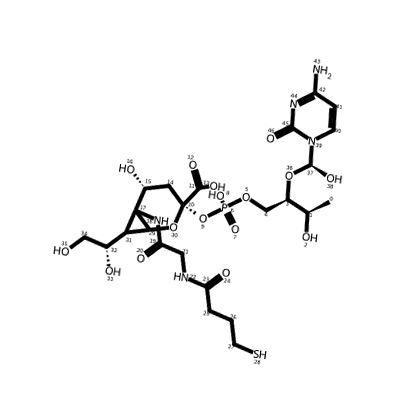 C[C@@H](O)[C@@H](COP(=O)(O)O[C@@]1(C(=O)O)C[C@@H](O)C2(NC(=O)CNC(=O)CCCS)C(O1)C2[C@H](O)CO)O[C@H](O)n1ccc(N)nc1=O